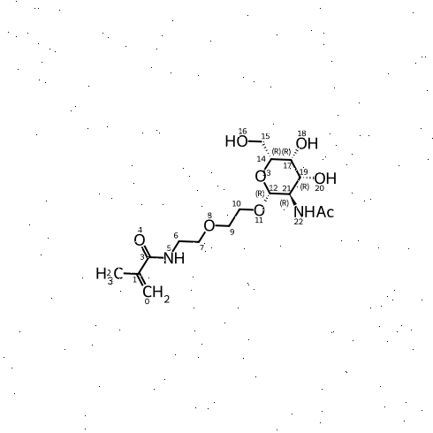 C=C(C)C(=O)NCCOCCO[C@@H]1O[C@H](CO)[C@H](O)[C@H](O)[C@H]1NC(C)=O